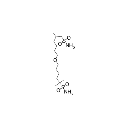 CC(CCCCOCCCCC(C)(C)S(N)(=O)=O)CS(N)(=O)=O